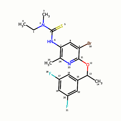 CCN(C)C(=S)Nc1cc(Br)c(OC(C)c2cc(F)cc(F)c2)nc1C